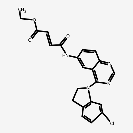 CCOC(=O)/C=C/C(=O)Nc1ccc2ncnc(N3CCc4ccc(Cl)cc43)c2c1